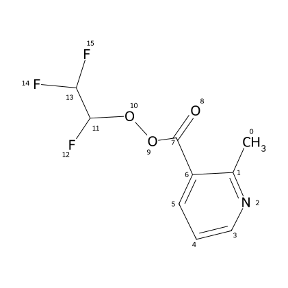 Cc1ncccc1C(=O)OOC(F)C(F)F